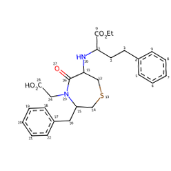 CCOC(=O)C(CCc1ccccc1)NC1CSCC(Cc2ccccc2)N(CC(=O)O)C1=O